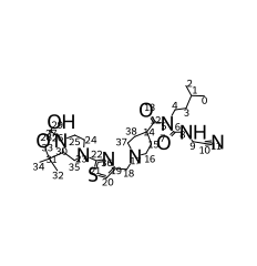 CC(C)CCN(C(=O)NCC#N)C(=O)C1CCN(Cc2csc(N3CCN(C(=O)O)C(C(C)(C)C)C3)n2)CC1